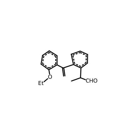 C=C(c1ccccc1OCC)c1ccccc1C(C)C=O